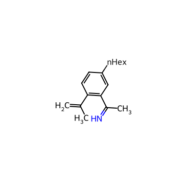 C=C(C)c1ccc(CCCCCC)cc1C(C)=N